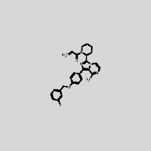 C=CC(=O)N1CCCCC1c1nc(-c2ccc(OCc3cccc(F)c3)cc2)c2c(C)nccn12